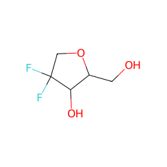 OCC1OCC(F)(F)C1O